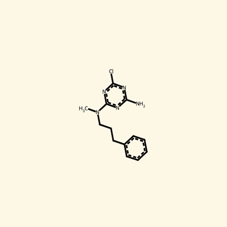 CN(CCCc1ccccc1)c1nc(N)nc(Cl)n1